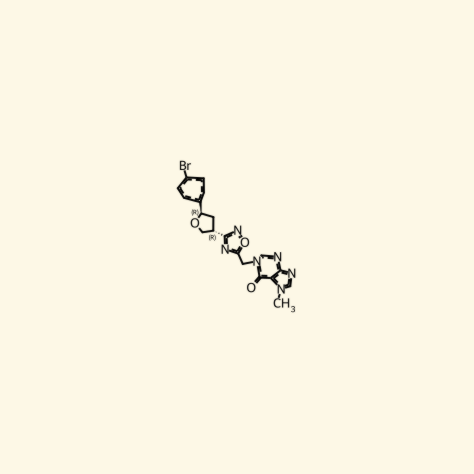 Cn1cnc2ncn(Cc3nc([C@@H]4CO[C@@H](c5ccc(Br)cc5)C4)no3)c(=O)c21